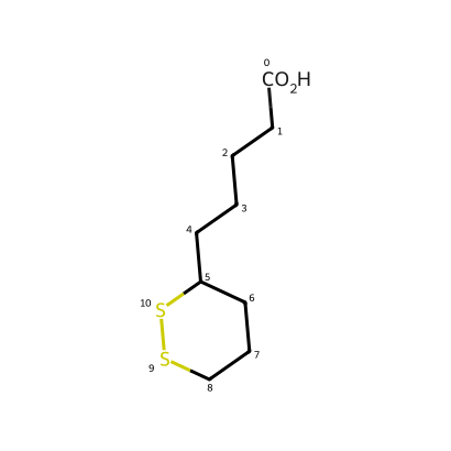 O=C(O)CCCCC1CCCSS1